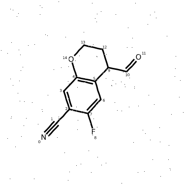 N#Cc1cc2c(cc1F)C(C=O)CCO2